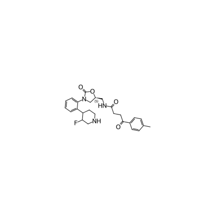 Cc1ccc(C(=O)CCC(=O)NC[C@H]2CN(c3ccccc3C3CCNCC3F)C(=O)O2)cc1